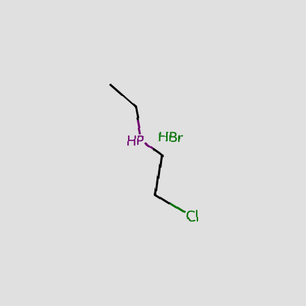 Br.CCPCCCl